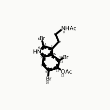 CC(=O)NCCc1c(Br)[nH]c2cc(Br)c(OC(C)=O)c(Br)c12